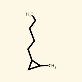 CCCCCC1C[C]1C